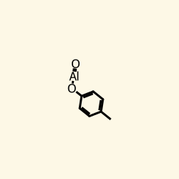 Cc1ccc([O][Al]=[O])cc1